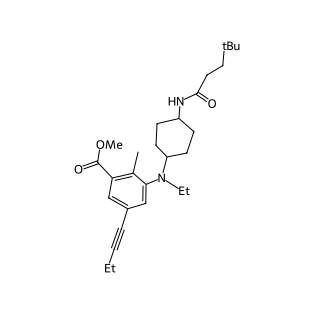 CCC#Cc1cc(C(=O)OC)c(C)c(N(CC)C2CCC(NC(=O)CCC(C)(C)C)CC2)c1